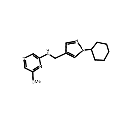 COc1cncc(NCc2cnn(C3CCCCC3)c2)n1